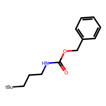 CC(C)(C)CCCNC(=O)OCc1ccccc1